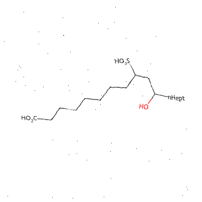 CCCCCCCC(O)CC(CCCCCCCC(=O)O)S(=O)(=O)O